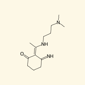 C/C(NCCCN(C)C)=C1/C(=N)CCCC1=O